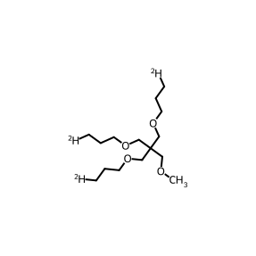 [2H]CCCOCC(COC)(COCCC[2H])COCCC[2H]